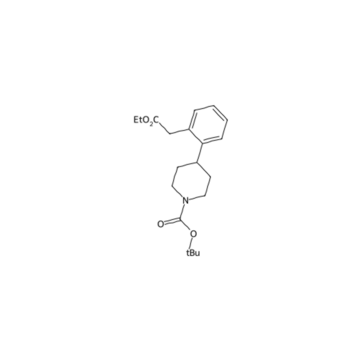 CCOC(=O)Cc1ccccc1C1CCN(C(=O)OC(C)(C)C)CC1